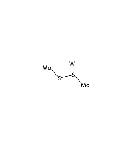 [Mo][S][S][Mo].[W]